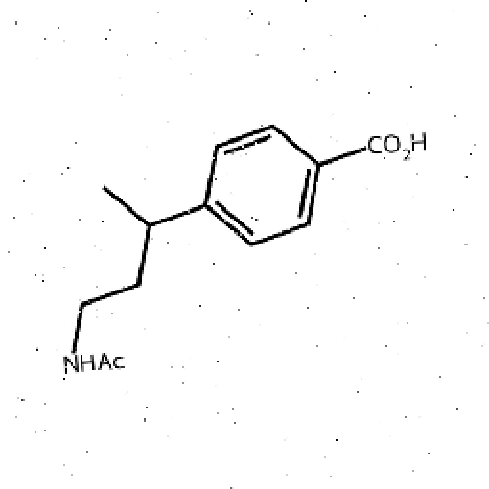 CC(=O)NCCC(C)c1ccc(C(=O)O)cc1